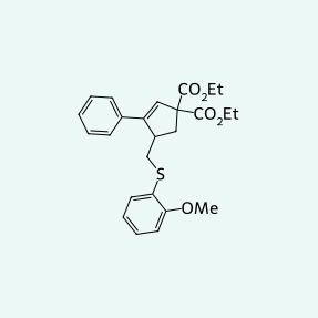 CCOC(=O)C1(C(=O)OCC)C=C(c2ccccc2)C(CSc2ccccc2OC)C1